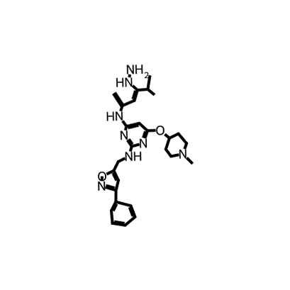 C=C(/C=C(\NN)C(C)C)Nc1cc(OC2CCN(C)CC2)nc(NCc2cc(-c3ccccc3)no2)n1